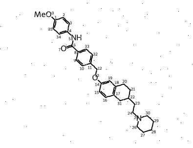 COc1ccc(NC(=O)c2ccc(COc3ccc4c(c3)CCC(CCN3CCCCC3)C4)cc2)cc1